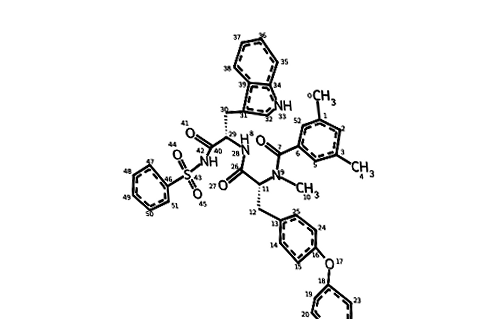 Cc1cc(C)cc(C(=O)N(C)[C@H](Cc2ccc(Oc3ccccc3)cc2)C(=O)N[C@@H](Cc2c[nH]c3ccccc23)C(=O)NS(=O)(=O)c2ccccc2)c1